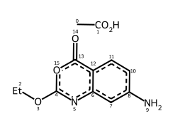 CC(=O)O.CCOc1nc2cc(N)ccc2c(=O)o1